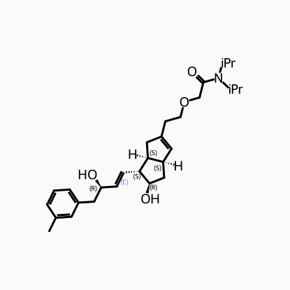 Cc1cccc(C[C@@H](O)/C=C/[C@@H]2[C@H]3CC(CCOCC(=O)N(C(C)C)C(C)C)=C[C@H]3C[C@H]2O)c1